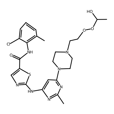 Cc1nc(Nc2ncc(C(=O)Nc3c(C)cccc3Cl)s2)cc(N2CCN(CCOOC(C)O)CC2)n1